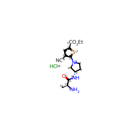 CCOC(=O)c1cc(C#N)c(N2CC[C@H](NC(=O)[C@H](C)N)C2)s1.Cl